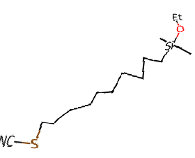 CCO[Si](C)(C)CCCCCCCCCCSC#N